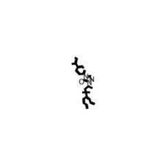 C=C/C=C\C(=C/C=C)C(C)(C)CC(C)n1ncn(C(=C)\C=C/C(=C\C)C(/C)=C/C)c1=O